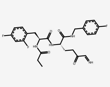 CCC(=O)N[C@@H](Cc1ccc(F)cc1F)C(=O)N[C@@H](CCC(=O)C=N)C(=O)NCc1ccc(F)cc1